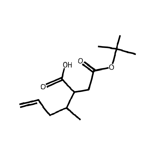 C=CCC(C)C(CC(=O)OC(C)(C)C)C(=O)O